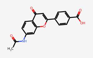 CC(=O)Nc1ccc2c(=O)cc(-c3ccc(C(=O)O)cc3)oc2c1